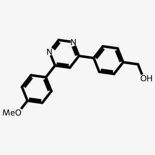 COc1ccc(-c2cc(-c3ccc(CO)cc3)ncn2)cc1